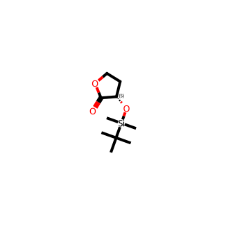 CC(C)(C)[Si](C)(C)O[C@H]1CCOC1=O